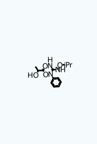 CC(C)ONC(=N)N(OC(=O)C(C)O)c1ccccc1